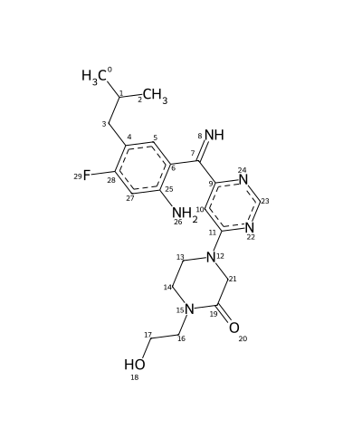 CC(C)Cc1cc(C(=N)c2cc(N3CCN(CCO)C(=O)C3)ncn2)c(N)cc1F